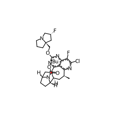 C[C@H]1C[C@H]2[C@@H]3CC[C@H](CN2c2nc(OC[C@@]45CCCN4C[C@H](F)C5)nc4c(F)c(Cl)nc1c24)N3C(=O)OC(C)(C)C